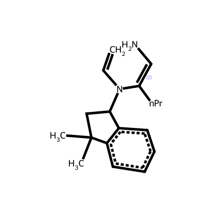 C=CN(/C(=C\N)CCC)C1CC(C)(C)c2ccccc21